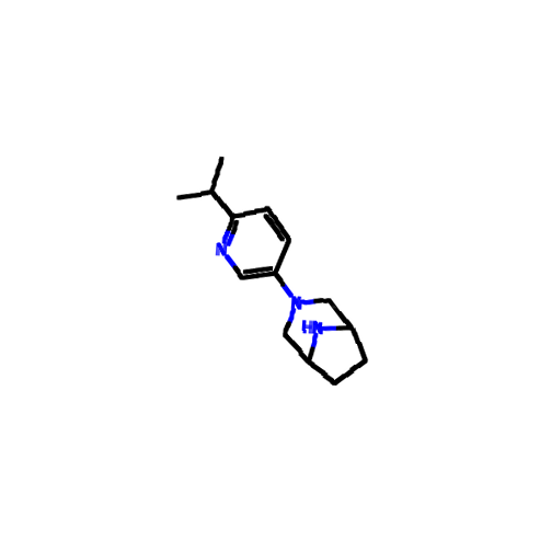 CC(C)c1ccc(N2CC3CCC(C2)N3)cn1